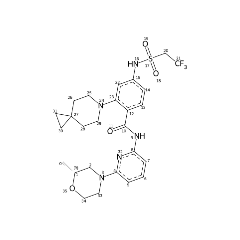 C[C@@H]1CN(c2cccc(NC(=O)c3ccc(NS(=O)(=O)CC(F)(F)F)cc3N3CCC4(CC3)CC4)n2)CCO1